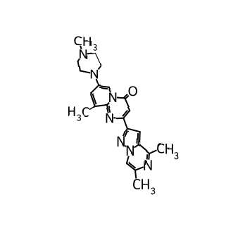 Cc1cn2nc(-c3cc(=O)n4cc(N5CCN(C)CC5)cc(C)c4n3)cc2c(C)n1